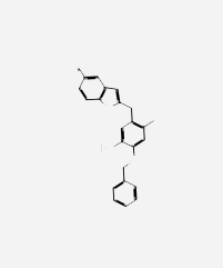 Cc1cc(OCc2ccccc2)c(Br)cc1Cc1cc2cc(Cl)ccc2s1